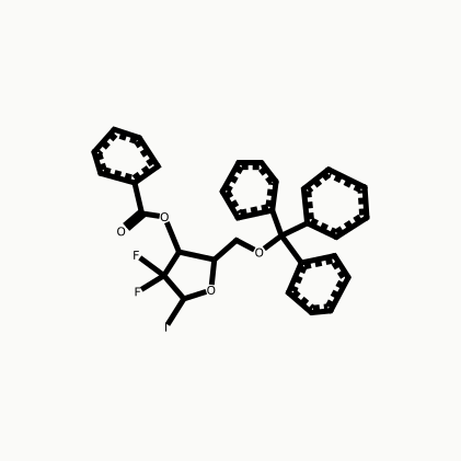 O=C(OC1C(COC(c2ccccc2)(c2ccccc2)c2ccccc2)OC(I)C1(F)F)c1ccccc1